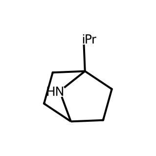 CC(C)C12CCC(CC1)N2